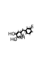 OC1=CC(Cc2cccc(F)c2)=NNC1O